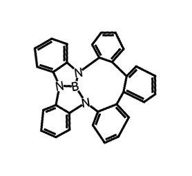 c1ccc2c(c1)-c1ccccc1N1B3N(c4ccccc4-2)c2ccccc2N3c2ccccc21